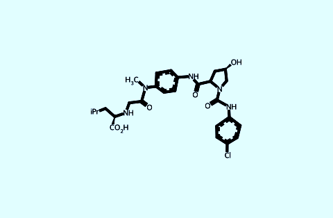 CC(C)C[C@@H](NCC(=O)N(C)c1ccc(NC(=O)C2C[C@@H](O)CN2C(=O)Nc2ccc(Cl)cc2)cc1)C(=O)O